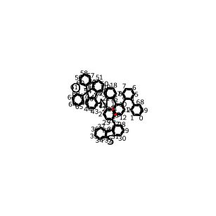 c1ccc(-c2ccccc2-c2ccccc2-c2ccccc2N(c2ccc(-c3cccc4sc5ccccc5c34)cc2)c2cccc3c2-c2ccccc2C32c3ccccc3Oc3ccccc32)cc1